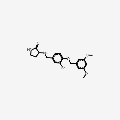 COc1cc(COc2ccc(CNC3CCNC3=O)cc2Br)cc(OC)c1